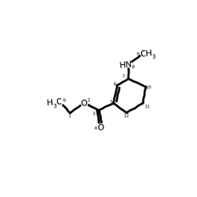 CCOC(=O)C1=CC(NC)CCC1